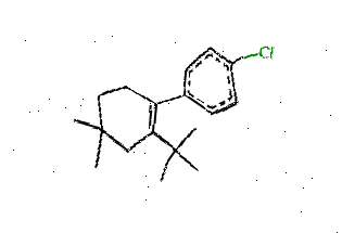 CC1(C)CCC(c2ccc(Cl)cc2)=C(C(C)(C)C)C1